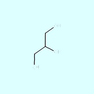 C[CH]C(O)CO